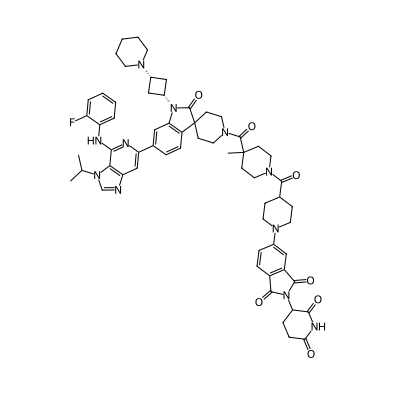 CC(C)n1cnc2cc(-c3ccc4c(c3)N([C@H]3C[C@@H](N5CCCCC5)C3)C(=O)C43CCN(C(=O)C4(C)CCN(C(=O)C5CCN(c6ccc7c(c6)C(=O)N(C6CCC(=O)NC6=O)C7=O)CC5)CC4)CC3)nc(Nc3ccccc3F)c21